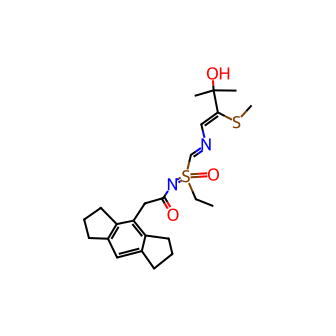 CCS(=O)(/C=N/C=C(\SC)C(C)(C)O)=NC(=O)Cc1c2c(cc3c1CCC3)CCC2